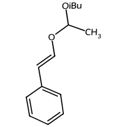 CC(C)COC(C)OC=Cc1ccccc1